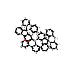 c1ccc(-c2ccccc2N(c2ccc3c(c2)C(c2ccccc2)(c2ccccc2)c2ccccc2-3)c2cccc3c2-c2ccccc2C32c3ccccc3Oc3ccccc32)cc1